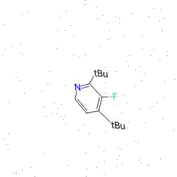 CC(C)(C)c1ccnc(C(C)(C)C)c1F